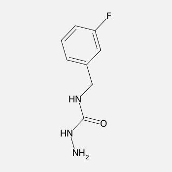 NNC(=O)NCc1cccc(F)c1